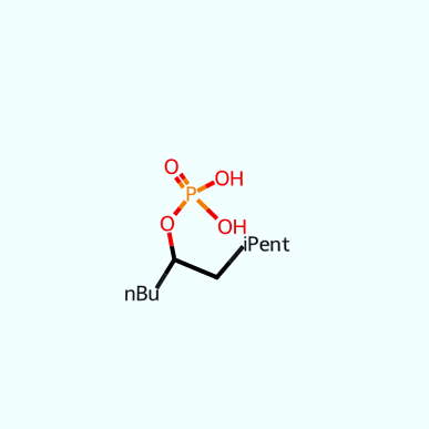 CCCCC(CC(C)CCC)OP(=O)(O)O